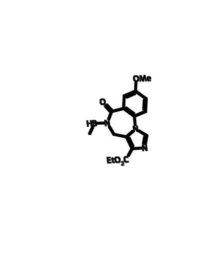 CBN1Cc2c(C(=O)OCC)ncn2-c2ccc(OC)cc2C1=O